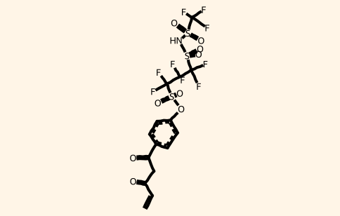 C=CC(=O)CC(=O)c1ccc(OS(=O)(=O)C(F)(F)C(F)(F)C(F)(F)S(=O)(=O)NS(=O)(=O)C(F)(F)F)cc1